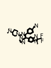 CN(C)C1CCN(c2nc(-c3ccc(C#N)cc3)c(-c3ccc4c(c3)nc(C(F)F)n4C)c3nccn23)CC1